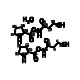 O.O=C(CCS)NOC(=O)[C@@H]1CCCN1.O=C(CCS)NOC(=O)[C@@H]1CCCN1